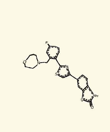 O=c1[nH]c2ccc(-c3csc(-c4ccc(F)cc4CN4CCOCC4)n3)cc2o1